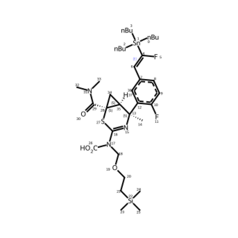 CCC[CH2][Sn]([CH2]CCC)([CH2]CCC)/[C](F)=C/c1ccc(F)c([C@@]2(C)N=C(N(COCC[Si](C)(C)C)C(=O)O)S[C@@]3(C(=O)N(C)C)C[C@H]32)c1